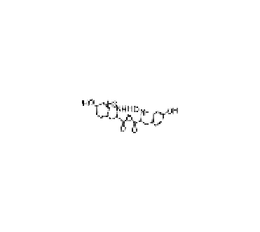 O=C(OC(=O)C(Cc1ccc(O)cc1)NO)C(Cc1ccc(O)cc1)NO